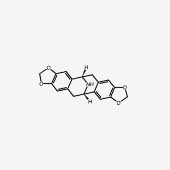 c1c2c(cc3c1OCO3)[C@@H]1Cc3cc4c(cc3[C@H](C2)N1)OCO4